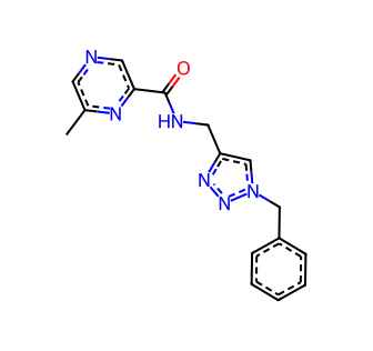 Cc1cncc(C(=O)NCc2cn(Cc3ccccc3)nn2)n1